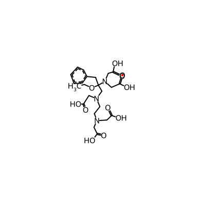 CCOC(Cc1ccccc1)(CN(CCN(CC(=O)O)CC(=O)O)CC(=O)O)N(CC(=O)O)CC(=O)O